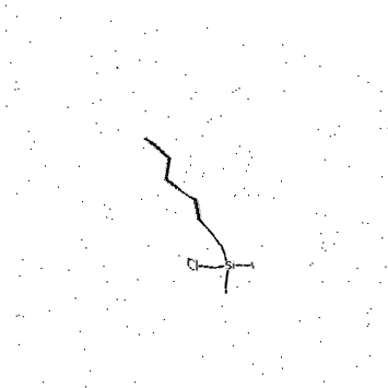 CCCCCC[Si](C)(Cl)I